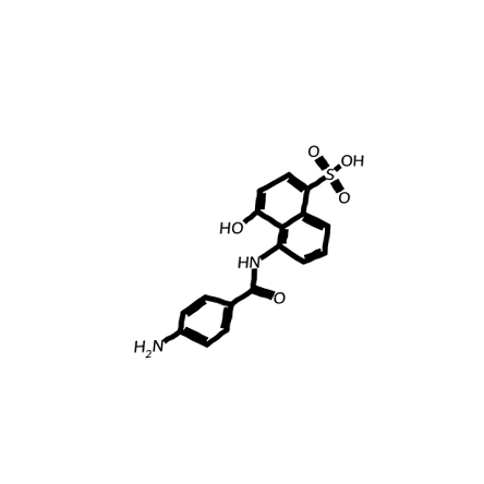 Nc1ccc(C(=O)Nc2cccc3c(S(=O)(=O)O)ccc(O)c23)cc1